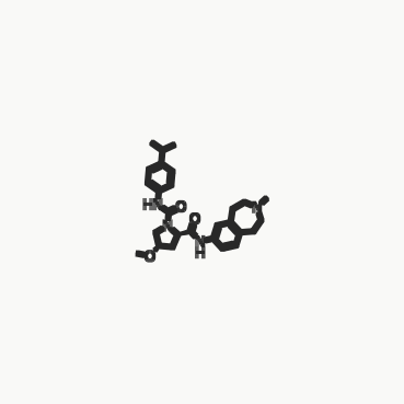 CO[C@@H]1C[C@H](C(=O)Nc2ccc3c(c2)CCN(C)CC3)N(C(=O)Nc2ccc(C(C)C)cc2)C1